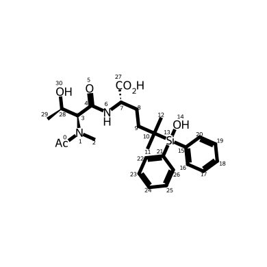 CC(=O)N(C)[C@H](C(=O)N[C@@H](CCC(C)(C)[Si](O)(c1ccccc1)c1ccccc1)C(=O)O)[C@@H](C)O